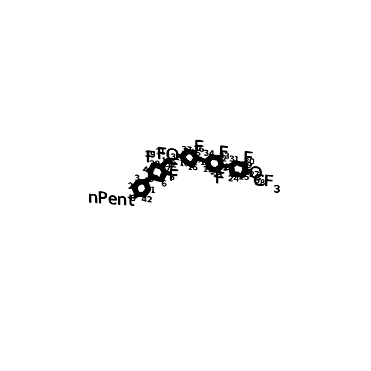 CCCCCc1ccc(-c2cc(F)c(C(F)(F)Oc3ccc(-c4cc(F)c(-c5ccc(OC(F)(F)F)c(F)c5)c(F)c4)c(F)c3)c(F)c2)cc1